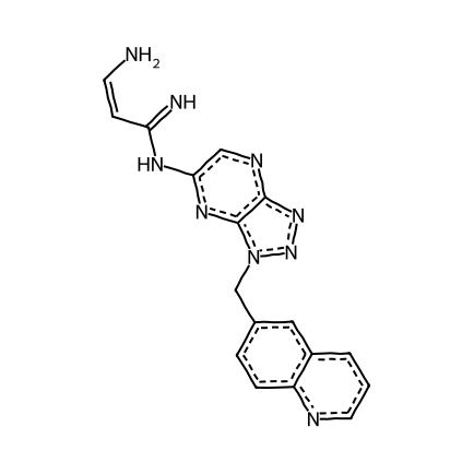 N=C(/C=C\N)Nc1cnc2nnn(Cc3ccc4ncccc4c3)c2n1